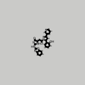 O=C1N=C(Nc2nc3ccccc3o2)NC1CC(=O)N1N=C(c2cccnc2)CC1c1ccccc1O